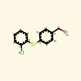 Clc1ccccc1Sc1ccc(CBr)cc1